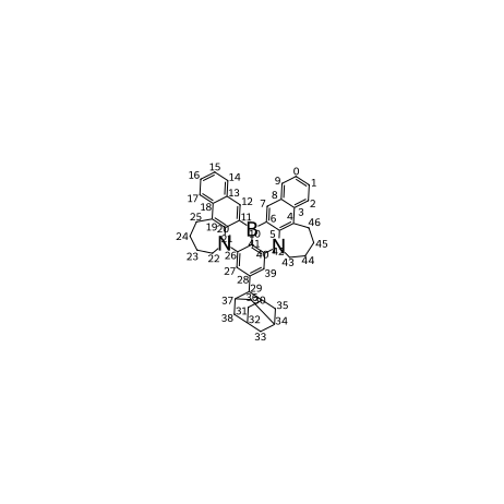 c1ccc2c3c4c(cc2c1)B1c2cc5ccccc5c5c2N(CCCC5)c2cc(C5C6CC7CC(C6)CC5C7)cc(c21)N4CCCC3